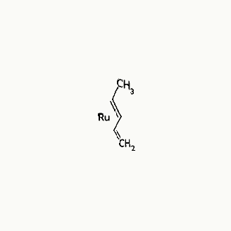 C=CC=CC.[Ru]